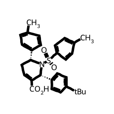 Cc1ccc([C@H]2CC=C(C(=O)O)[C@@H](c3ccc(C(C)(C)C)cc3)N2S(=O)(=O)c2ccc(C)cc2)cc1